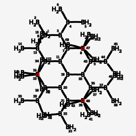 BB(B)B(B(B)B)B(B(B)B)B(B(B(B)B)B(B)B)B(B(B(B(B)B)B(B)B)B(B(B)B)B(B)B)B(B(B(B)B)B(B)B)B(B(B)B)B(B)B